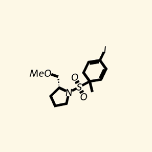 COC[C@H]1CCCN1S(=O)(=O)C1(C)C=CC(I)=CC1